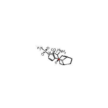 CC(N)C(=O)N1C2CCC1CC(c1ccn(S(N)(=O)=O)c1C(=O)O)C2